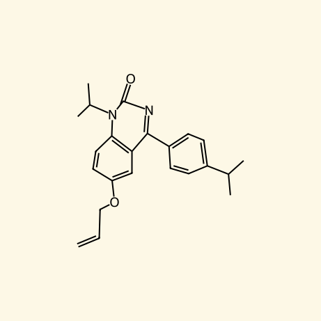 C=CCOc1ccc2c(c1)c(-c1ccc(C(C)C)cc1)nc(=O)n2C(C)C